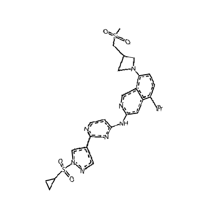 CC(C)c1ccc(N2CC(CS(C)(=O)=O)C2)c2cnc(Nc3ccnc(-c4cnn(S(=O)(=O)C5CC5)c4)n3)cc12